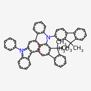 CC1(C)c2ccccc2-c2ccc(N(c3ccccc3-c3ccc4c5ccccc5n(-c5ccccc5)c4c3)c3cccc4c3C(C)(C)c3ccccc3-4)cc21